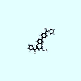 NC1=Nc2cc(-c3ccc(C(=O)N4CCCC4)cc3)ccc2C=C(C(=O)N2CCCC2)C1